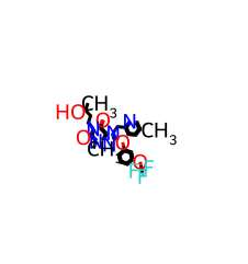 Cc1ccc(Cn2c(Oc3cccc(OC(F)(F)F)c3)nc3c2c(=O)n(CCC(C)O)c(=O)n3C)nc1